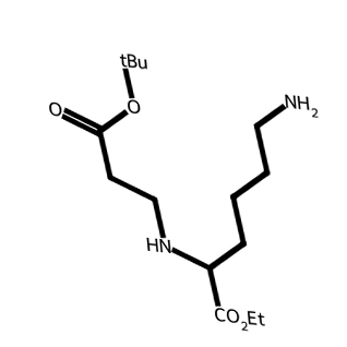 CCOC(=O)C(CCCCN)NCCC(=O)OC(C)(C)C